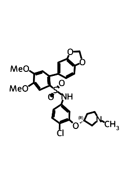 COc1cc(-c2ccc3c(c2)OCO3)c(S(=O)(=O)Nc2ccc(Cl)c(O[C@@H]3CCN(C)C3)c2)cc1OC